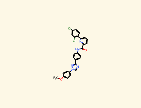 O=C(Nc1ccc(-c2ncn(-c3ccc(OC(F)(F)F)cc3)n2)cc1)c1cccc(-c2ccc(Cl)cc2Cl)n1